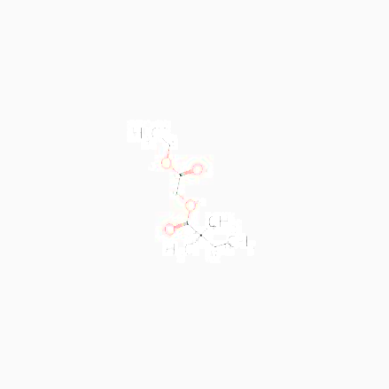 CCOC(=O)COC(=O)C(C)(C)CC